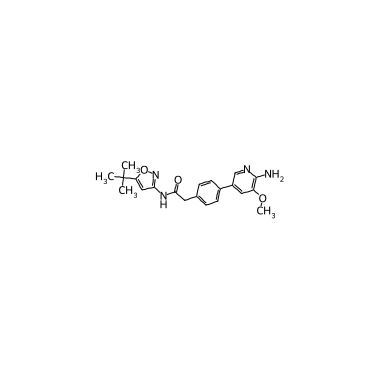 COc1cc(-c2ccc(CC(=O)Nc3cc(C(C)(C)C)on3)cc2)cnc1N